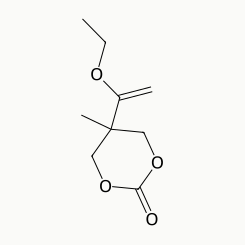 C=C(OCC)C1(C)COC(=O)OC1